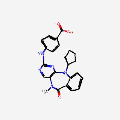 CN1C(=O)c2ccccc2N(C2CCCC2)c2nc(Nc3ccc(C(=O)O)cc3)ncc21